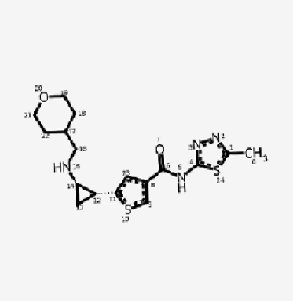 Cc1nnc(NC(=O)c2csc([C@@H]3C[C@H]3NCC3CCOCC3)c2)s1